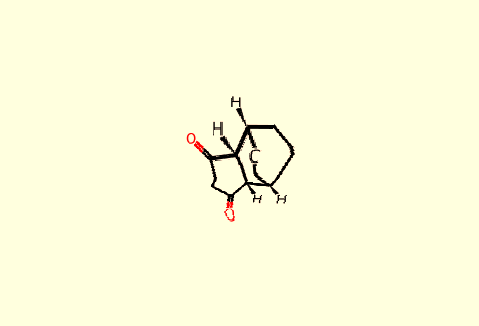 O=C1CC(=O)[C@H]2[C@H]3CC[C@H](CC3)[C@@H]12